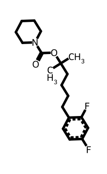 CC(C)(CCCCc1ccc(F)cc1F)OC(=O)N1CCCCC1